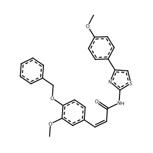 COc1ccc(-c2csc(NC(=O)/C=C\c3ccc(OCc4ccccc4)c(OC)c3)n2)cc1